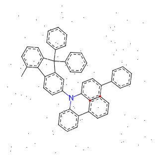 Cc1cccc2c1-c1ccc(N(c3ccc(-c4ccccc4)cc3)c3ccccc3-c3ccccc3)cc1C2(c1ccccc1)c1ccccc1